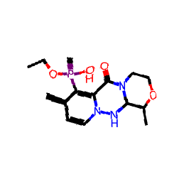 C=C1C=CN2NC3C(C)OCCN3C(=O)C2=C1P(=C)(O)OCC